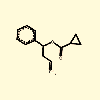 C=CCC(OC(=O)C1CC1)c1ccccc1